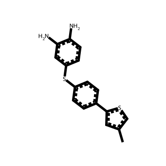 Cc1csc(-c2ccc(Sc3ccc(N)c(N)c3)cc2)c1